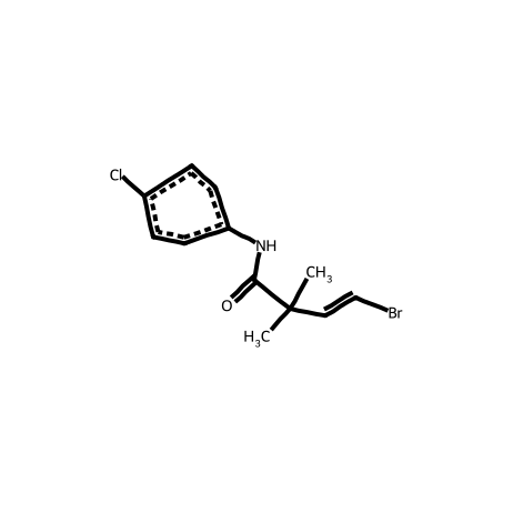 CC(C)(C=CBr)C(=O)Nc1ccc(Cl)cc1